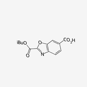 CC(C)COC(=O)c1nc2ccc(C(=O)O)cc2o1